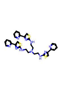 c1ccc(-c2csc(NCCN(CCNc3nc(-c4ccccn4)cs3)CCNc3nc(-c4ccccn4)cs3)n2)nc1